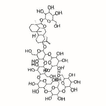 C=C1C[C@@]23CCC4[C@](C)(C(=O)OC5OC(CO)C(O)C(O)C5O)CCC[C@@]4(C)[C@@H]2CC[C@]1(OC1OC(CO)C(O)C(OC2OC(CO)C(OC4OC(CO)C(OC5OC(CO)C(OC6OC(CO)C(O)C(O)C6O)C(O)C5O)C(O)C4O)C(O)C2O)C1OC1OC(CO)C(O)C(O)C1O)C3